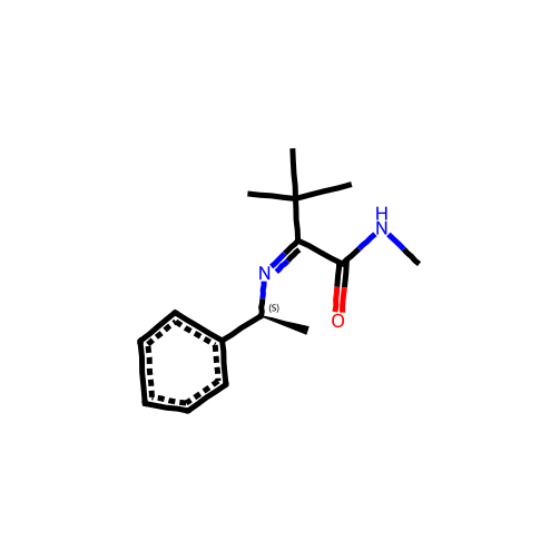 CNC(=O)C(=N[C@@H](C)c1ccccc1)C(C)(C)C